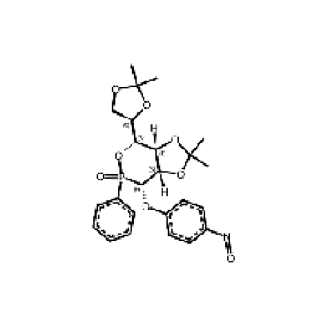 CC1(C)O[C@H]2[C@@H]([C@H]3COC(C)(C)O3)OP(=O)(c3ccccc3)[C@@H](Oc3ccc(N=O)cc3)[C@H]2O1